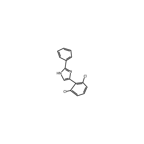 Clc1cccc(Cl)c1-c1c[nH]c(-c2ccccc2)n1